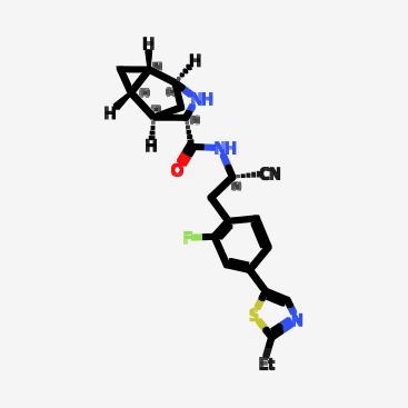 CCc1ncc(-c2ccc(C[C@@H](C#N)NC(=O)[C@H]3N[C@H]4C[C@@H]3[C@@H]3C[C@@H]34)c(F)c2)s1